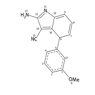 COc1cccc(C2C=CC=C3N=C(N)C(C#N)=C32)c1